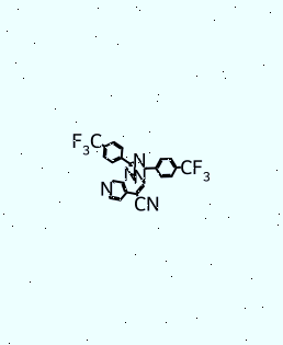 N#C/C(=C/n1nc(-c2ccc(C(F)(F)F)cc2)nc1-c1ccc(C(F)(F)F)cc1)c1ccncc1